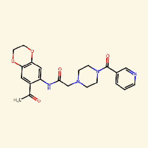 CC(=O)c1cc2c(cc1NC(=O)CN1CCN(C(=O)c3cccnc3)CC1)OCCO2